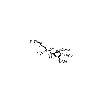 COc1cc(NC(=O)[C@@H](N)CCSC(F)(F)F)cc(OC)c1OC